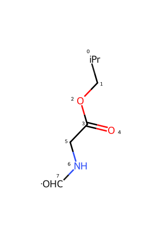 CC(C)COC(=O)CN[C]=O